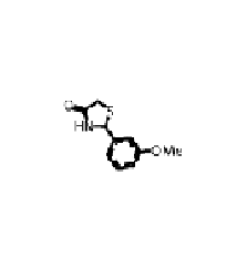 COc1cccc(C2NC(=O)CS2)c1